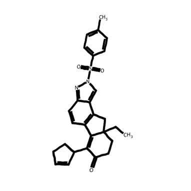 CCC12CCC(=O)C(C3C=CCC3)=C1c1ccc3nn(S(=O)(=O)c4ccc(C)cc4)cc3c1C2